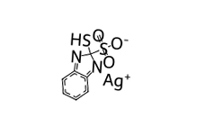 O=S(=O)([O-])C1(S)N=c2ccccc2=N1.[Ag+]